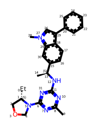 CC[C@H]1COCN1c1nc(C)nc(N[C@@H](C)c2ccc3c(-c4ccccc4)cn(C)c3c2)n1